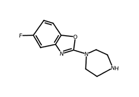 Fc1ccc2oc(N3CCNCC3)nc2c1